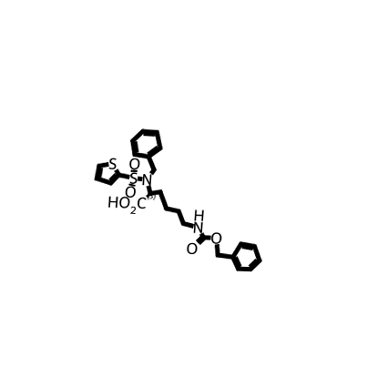 O=C(NCCCC[C@@H](C(=O)O)N(Cc1ccccc1)S(=O)(=O)c1cccs1)OCc1ccccc1